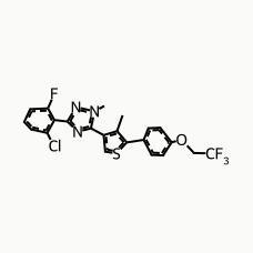 Cc1c(-c2nc(-c3c(F)cccc3Cl)nn2C)csc1-c1ccc(OCC(F)(F)F)cc1